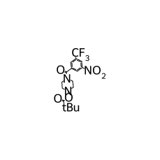 CC(C)(C)C(=O)ON1CCN(C(=O)c2cc([N+](=O)[O-])cc(C(F)(F)F)c2)CC1